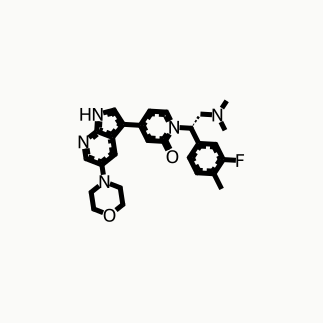 Cc1ccc([C@@H](CN(C)C)n2ccc(-c3c[nH]c4ncc(N5CCOCC5)cc34)cc2=O)cc1F